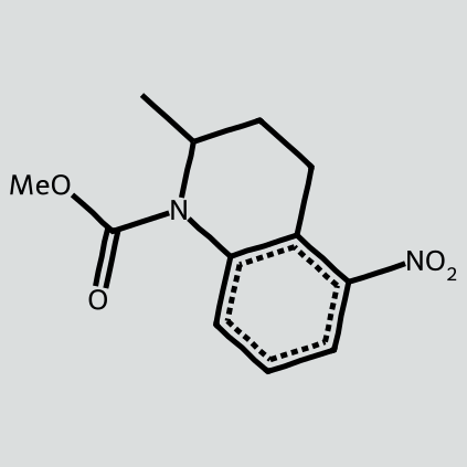 COC(=O)N1c2cccc([N+](=O)[O-])c2CCC1C